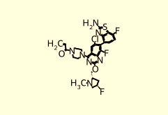 C=CC(=O)N1CCN(c2nc(OC[C@@H]3C[C@@H](F)CN3C)nc3c(F)c(-c4ccc(F)c5sc(N)nc45)c(Cl)cc23)CC1